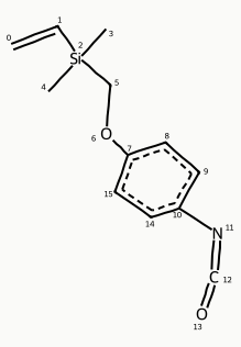 C=C[Si](C)(C)COc1ccc(N=C=O)cc1